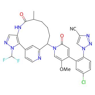 COc1cn(C2CCCC(C)C(=O)Nc3cnn(C(F)F)c3-c3ccnc2c3)c(=O)cc1-c1cc(Cl)ccc1-n1cc(C#N)nn1